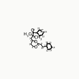 CC(C)(CC1CCOC(CCc2ccccc2)O1)C(=O)c1ccccc1